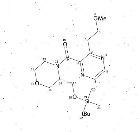 COCCc1nccnc1C(=O)N1CCOC[C@H]1CO[Si](C)(C)C(C)(C)C